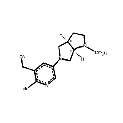 N#CCc1cc(N2C[C@H]3CCN(C(=O)O)[C@H]3C2)cnc1Br